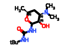 C[C@@H]1C[C@H](N(C)C)[C@@H](O)C(NC(=O)NC(C)(C)C)O1